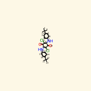 CC(C)(C)c1ccc(NC2=C(Cl)C(=O)C(Nc3ccc(C(C)(C)C)cc3)=C(Cl)C2=O)cc1